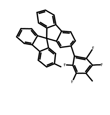 Cc1ccc2c(c1)C1(c3ccccc3-2)c2ccccc2-c2ccc(-c3c(F)c(F)c(C)c(F)c3F)cc21